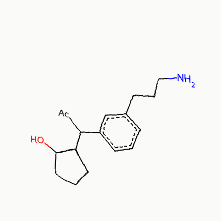 CC(=O)C(c1cccc(CCCN)c1)C1CCCC1O